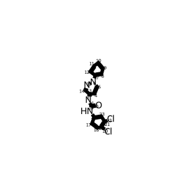 O=C(/N=c1\ccn(-c2ccccc2)nc1)Nc1ccc(Cl)c(Cl)c1